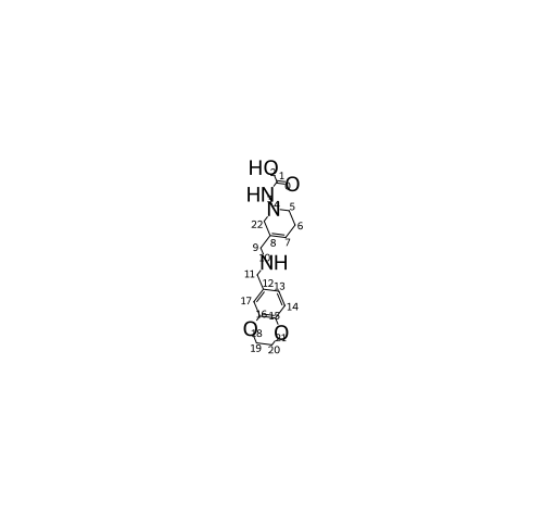 O=C(O)NN1CCC=C(CNCc2ccc3c(c2)OCCO3)C1